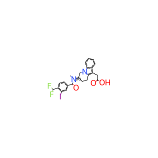 CN(C(=O)c1ccc(C(F)F)c(I)c1)[C@@H]1CCc2c(CC(=O)O)c3ccccc3n2C1